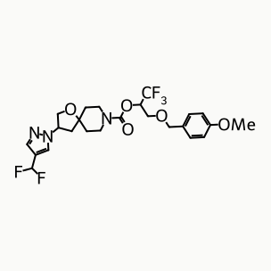 COc1ccc(COCC(OC(=O)N2CCC3(CC2)CC(n2cc(C(F)F)cn2)CO3)C(F)(F)F)cc1